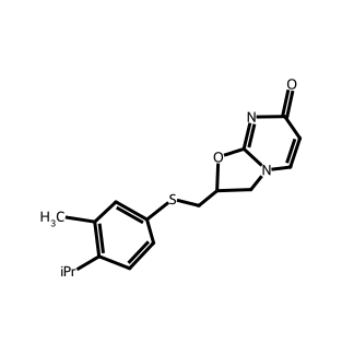 Cc1cc(SCC2Cn3ccc(=O)nc3O2)ccc1C(C)C